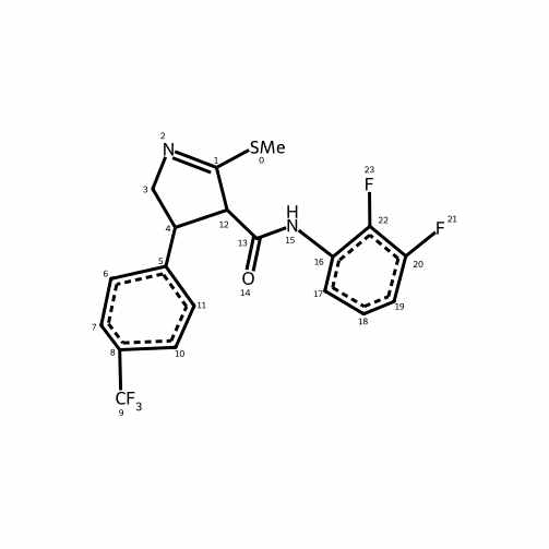 CSC1=NCC(c2ccc(C(F)(F)F)cc2)C1C(=O)Nc1cccc(F)c1F